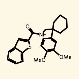 COc1ccc(C2(CNC(=O)c3cc4ccccc4s3)CCCCC2)cc1OC